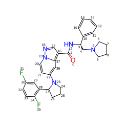 O=C(N[C@H](CN1CCCC1)c1ccccc1)c1cnn2ccc(N3CCCC3c3cc(F)ccc3F)cc12